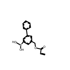 C=CC(=O)OCc1cc(B(O)O)cc(-c2ccccc2)c1